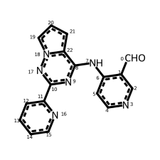 O=Cc1cnccc1Nc1nc(-c2ccccn2)nn2cccc12